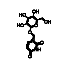 O=c1ccn(CO[C@@H]2O[C@H](CO)[C@@H](O)[C@H](O)[C@H]2O)c(=O)[nH]1